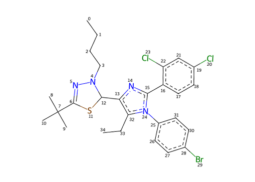 CCCCN1N=C(C(C)(C)C)SC1c1nc(-c2ccc(Cl)cc2Cl)n(-c2ccc(Br)cc2)c1CC